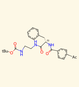 CC(=O)c1ccc(C(=O)N[C@@H](Cc2ccccc2)C(=O)NCCNC(=O)OC(C)(C)C)cc1